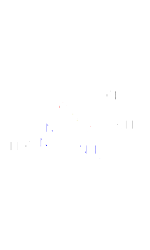 CCC(C)CS(=O)(=O)c1nn(C)cc1N